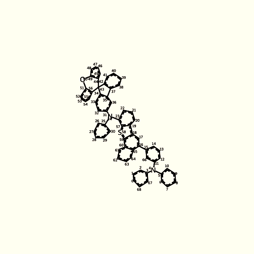 c1ccc(N(c2ccccc2)c2cccc(-c3cc4c5cccc(N(c6ccccc6)c6ccc7c(c6)-c6ccccc6C76c7ccccc7Oc7ccccc76)c5sc4c4ccccc34)c2)cc1